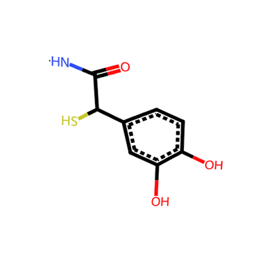 [NH]C(=O)C(S)c1ccc(O)c(O)c1